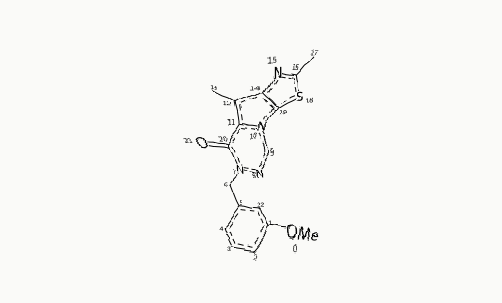 COc1cccc(Cn2ncn3c(c(C)c4nc(C)sc43)c2=O)c1